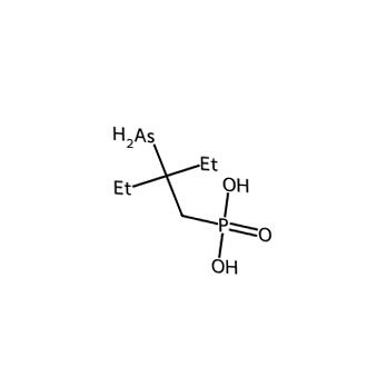 CCC([AsH2])(CC)CP(=O)(O)O